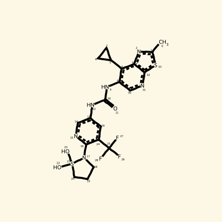 Cc1nc2c(C3CC3)c(NC(=O)Nc3cnc(N4CCCS4(O)O)c(C(F)(F)F)c3)cnc2s1